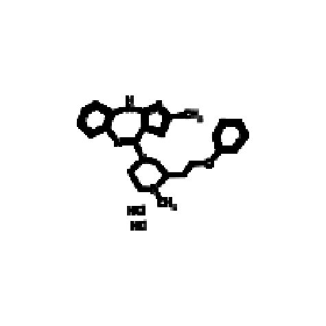 Cc1cc2c(s1)Nc1ccccc1N=C2N1CCN(C)C(CCOc2ccccc2)C1.Cl.Cl